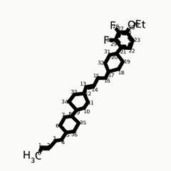 C/C=C/CCC1CCC(C2CCC(/C=C/CCC3CCC(c4ccc(OCC)c(F)c4F)CC3)CC2)CC1